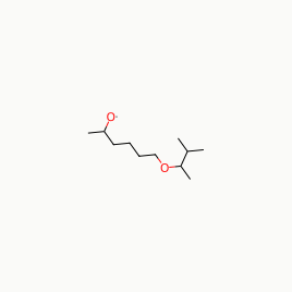 CC([O])CCCCOC(C)C(C)C